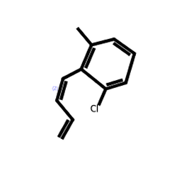 C=C/C=C\c1c(C)cccc1Cl